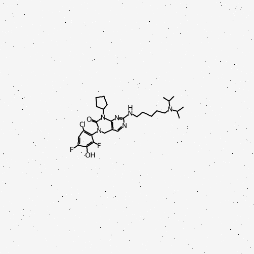 CC(C)N(CCCCCNc1ncc2c(n1)N(C1CCCC1)C(=O)N(c1c(Cl)cc(F)c(O)c1F)C2)C(C)C